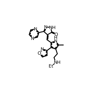 CCNCCc1c(C)[nH]c(C=C2C(=O)NN=C2c2cnccn2)c1-c1ccon1